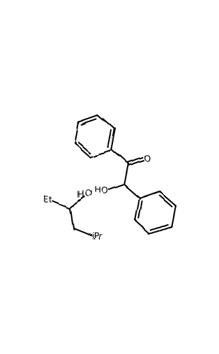 CCC(O)CC(C)C.O=C(c1ccccc1)C(O)c1ccccc1